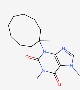 Cn1c(=O)c2c(ncn2C)n(C2(C)CCCCCCCC2)c1=O